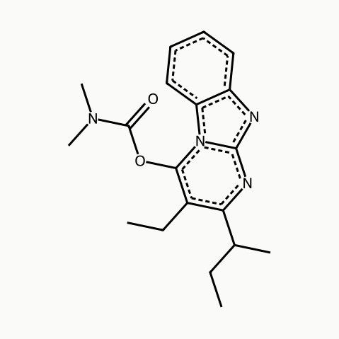 CCc1c(C(C)CC)nc2nc3ccccc3n2c1OC(=O)N(C)C